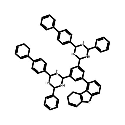 C1=CCCC(c2ccc(C3NC(c4ccccc4)NC(c4cc(-c5cccc6oc7c(c56)CCC=C7)cc(C5NC(c6ccccc6)NC(c6ccc(-c7ccccc7)cc6)N5)c4)N3)cc2)=C1